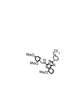 COc1ccc(CNc2nc3c(OC)cccc3c3nc([C@@H]4CCCN(CC(F)(F)F)C4)nn23)c(OC)c1